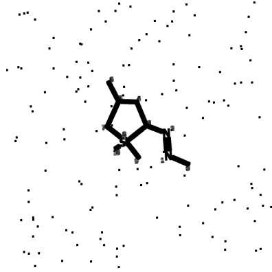 CN=NC1CC(C)C[Si]1(C)C